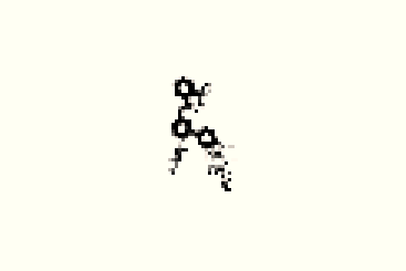 CCOC(=O)Nc1nc2cc(-c3cc(Cc4n[nH]c(=O)c5ccccc45)ccc3OCCOC)ccc2[nH]1